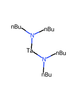 CCCC[N](CCCC)[Ta][N](CCCC)CCCC